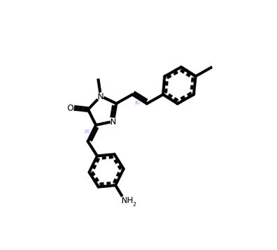 Cc1ccc(/C=C/C2=NC(=C\c3ccc(N)cc3)/C(=O)N2C)cc1